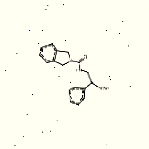 CNC(CNC(=O)N1Cc2ccccc2C1)c1ccccc1